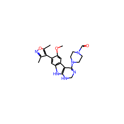 COc1cc2c3c([nH]c2cc1-c1c(C)noc1C)NCN=C3N1CCN(C=O)CC1